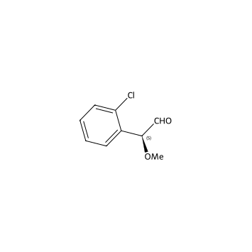 CO[C@H](C=O)c1ccccc1Cl